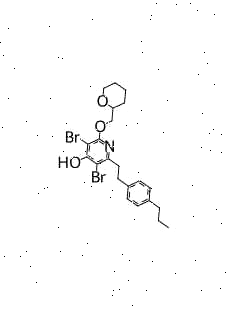 CCCc1ccc(CCc2nc(OCC3CCCCO3)c(Br)c(O)c2Br)cc1